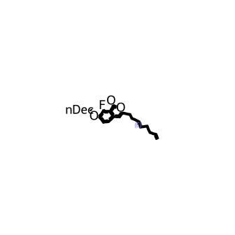 C=CCC/C=C/CCc1cc2ccc(OCCCCCCCCCC)c(F)c2c(=O)o1